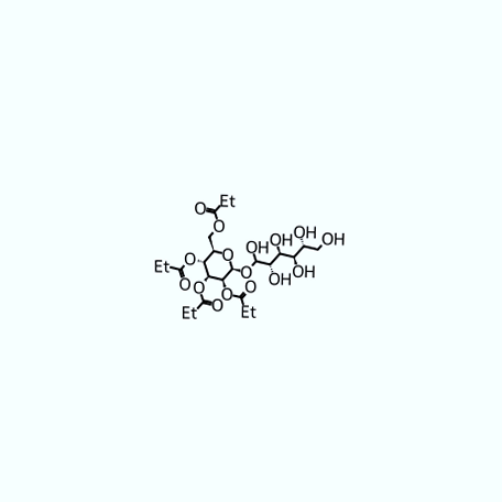 CCC(=O)OC[C@H]1O[C@@H](OC(O)[C@@H](O)[C@@H](O)[C@H](O)[C@H](O)CO)[C@@H](OC(=O)CC)[C@@H](OC(=O)CC)[C@@H]1OC(=O)CC